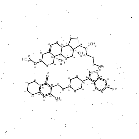 CC(C)CCC[C@@H](C)[C@H]1CCC2C3CC=C4CC(OS(=O)(=O)O)CC[C@]4(C)C3CC[C@@]21C.Cc1nc2n(c(=O)c1CCN1CCC(c3noc4cc(F)ccc34)CC1)CCCC2